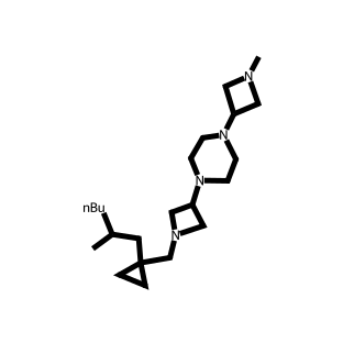 CCCCC(C)CC1(CN2CC(N3CCN(C4CN(C)C4)CC3)C2)CC1